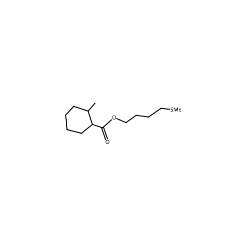 CSCCCCOC(=O)C1CCCCC1C